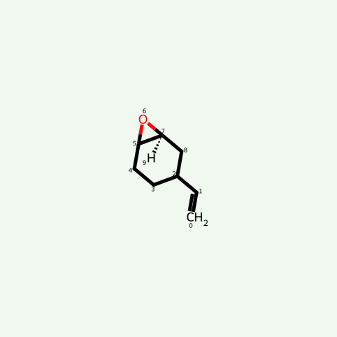 C=CC1CCC2O[C@H]2C1